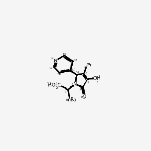 CCCCC(C(=O)O)N1C(=O)C(O)=C(C(C)C)C1c1ccncc1